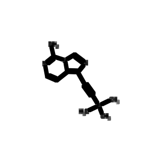 C[Si](C)(C)C#Cc1ncn2c(N)nccc12